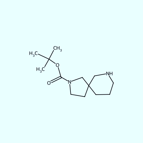 CC(C)(C)OC(=O)N1CCC2(CCCNC2)C1